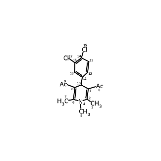 CC(=O)C1=C(C)N(C)C(C)=C(C(C)=O)C1c1ccc(Cl)c(Cl)c1